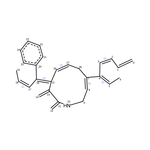 C=C\C=C/C(=C\C)C1=C/CNC(=C)C(=C)C(=C(\C=C/C)c2ccccc2)/C=C\C\1